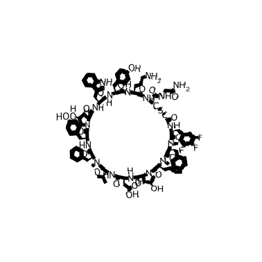 CCCC[C@H]1C(=O)N2C[C@@H](O)C[C@@H]2C(=O)N[C@@H](CC(=O)O)C(=O)N[C@@H](C(C)C)C(=O)N(C)[C@@H](Cc2ccccc2)C(=O)N[C@@H](Cc2ccc(O)cc2)C(=O)N2C[C@@H](O)C[C@@H]2C(=O)N[C@@H](Cc2c[nH]c3ccccc23)C(=O)N[C@@H](Cc2ccc(O)cc2)C(=O)N[C@@H](CCCN)C(=O)N[C@H](C(=O)NCC(N)=O)CSCC(=O)N[C@@H](Cc2cc(F)c(F)c(F)c2)C(=O)N(C)[C@@H](Cc2ccccc2)C(=O)N1C